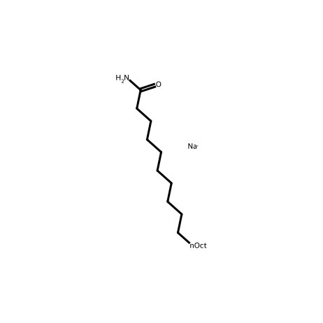 CCCCCCCCCCCCCCCCCC(N)=O.[Na]